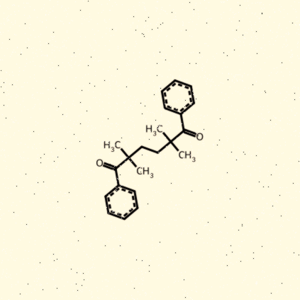 CC(C)(CCC(C)(C)C(=O)c1ccccc1)C(=O)c1ccccc1